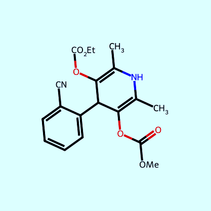 CCOC(=O)OC1=C(C)NC(C)=C(OC(=O)OC)C1c1ccccc1C#N